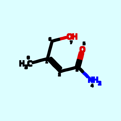 CC(=CC(N)=O)CO